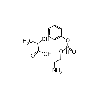 CC(O)C(=O)O.NCCO[PH](=O)Oc1ccccc1